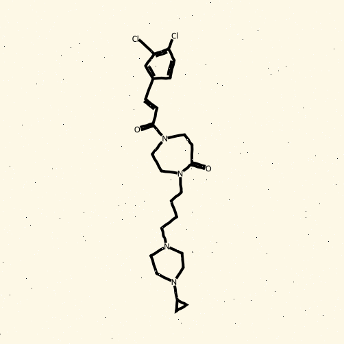 O=C(C=Cc1ccc(Cl)c(Cl)c1)N1CCC(=O)N(CCCCN2CCN(C3CC3)CC2)CC1